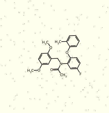 COc1ccc(OC)c(CN(C(C)=O)c2cc(F)ccc2Oc2ccccc2C)c1